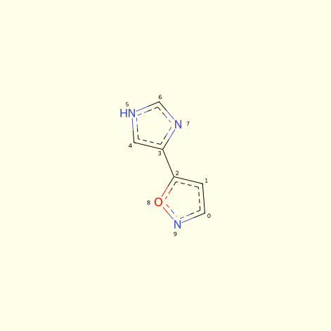 c1cc(-c2c[nH]cn2)on1